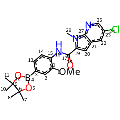 COc1cc(B2OC(C)(C)C(C)(C)O2)ccc1NC(=O)c1cc2cc(Cl)cnc2n1C